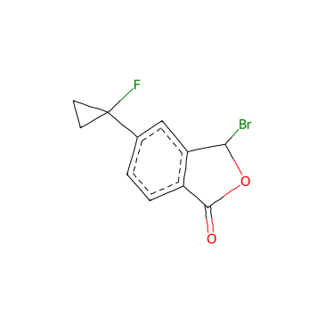 O=C1OC(Br)c2cc(C3(F)CC3)ccc21